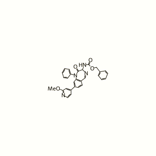 COc1cc(-c2ccc3c(c2)N(c2ccccc2)C(=O)C(NC(=O)OCc2ccccc2)N=C3)ccn1